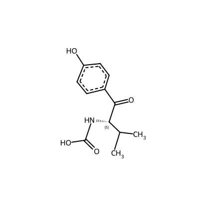 CC(C)[C@H](NC(=O)O)C(=O)c1ccc(O)cc1